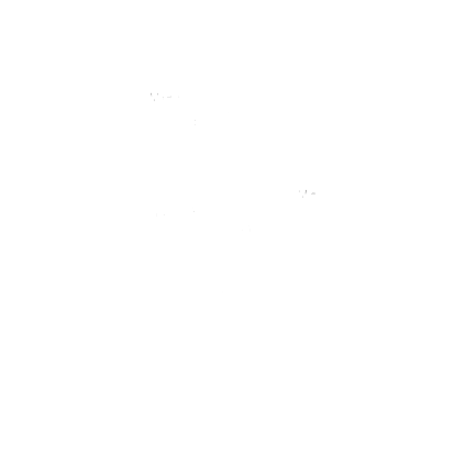 COC(=O)CC(CC(=O)OC)C(=O)OCc1ccc(Cl)cc1